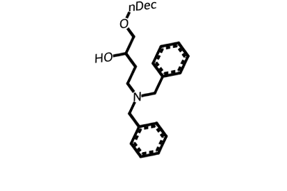 CCCCCCCCCCOCC(O)CCN(Cc1ccccc1)Cc1ccccc1